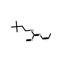 C=N/C(=N\C=C/C)NCCC(C)(C)C